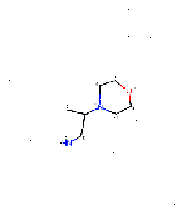 CC(C[NH])N1CCOCC1